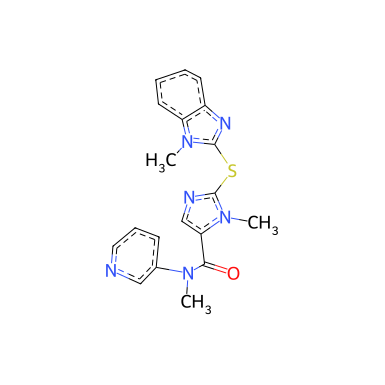 CN(C(=O)c1cnc(Sc2nc3ccccc3n2C)n1C)c1cccnc1